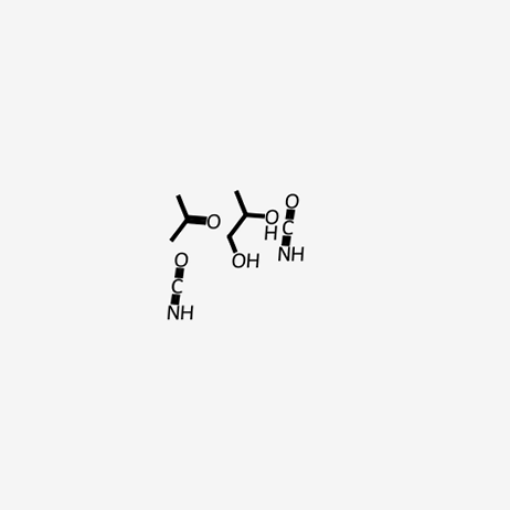 CC(C)=O.CC(O)CO.N=C=O.N=C=O